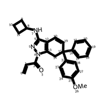 C=CC(=O)n1nc(NC2CCC2)c2c1CC(c1ccccc1)(c1ccc(OC)cc1)C=C2